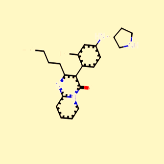 CCCCc1nc2ccccn2c(=O)c1-c1ccc(N[C@@H]2CCNC2)cc1C